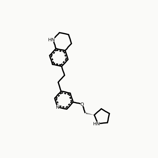 c1cc2c(cc1CCc1cncc(OC[C@@H]3CCCN3)c1)CCCN2